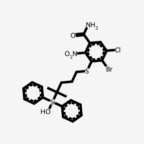 CC(C)(CCCSc1c(Br)c(Cl)cc(C(N)=O)c1[N+](=O)[O-])[Si](O)(c1ccccc1)c1ccccc1